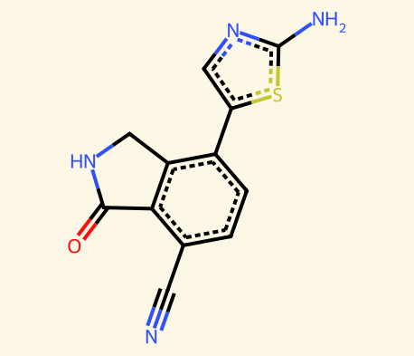 N#Cc1ccc(-c2cnc(N)s2)c2c1C(=O)NC2